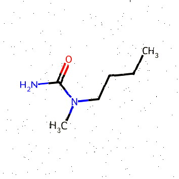 CCCCN(C)C(N)=O